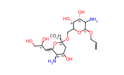 C=CCO[C@H]1OC(CO[C@]2(C(=O)O)C[C@@H](O)[C@@H](N)/C(=C/[C@H](O)CO)O2)[C@H](O)[C@H](O)C1N